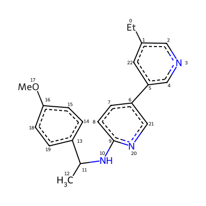 CCc1cncc(-c2ccc(NC(C)c3ccc(OC)cc3)nc2)c1